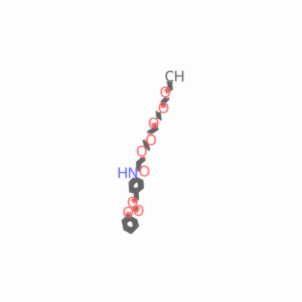 C#CCOCCOCCOCCOCCOCCC(=O)Nc1ccc(COC(=O)Oc2ccccc2)cc1